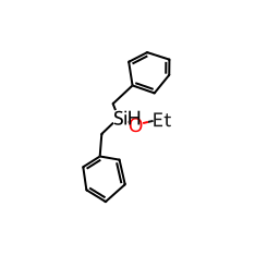 CCO[SiH](Cc1ccccc1)Cc1ccccc1